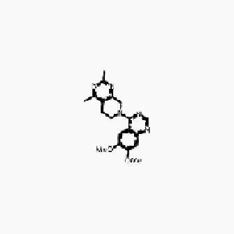 COc1cc2ncnc(N3CCc4c(C)nc(C)nc4C3)c2cc1OC